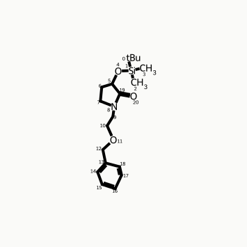 CC(C)(C)[Si](C)(C)OC1CCN(CCOCc2ccccc2)C1=O